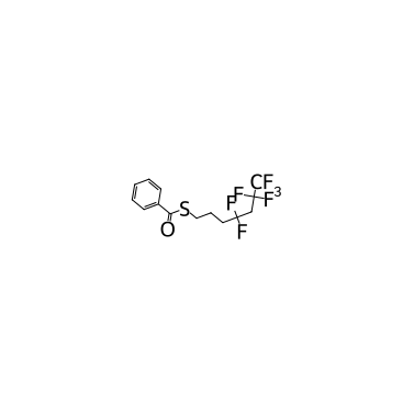 O=C(SCCCC(F)(F)CC(F)(F)C(F)(F)F)c1ccccc1